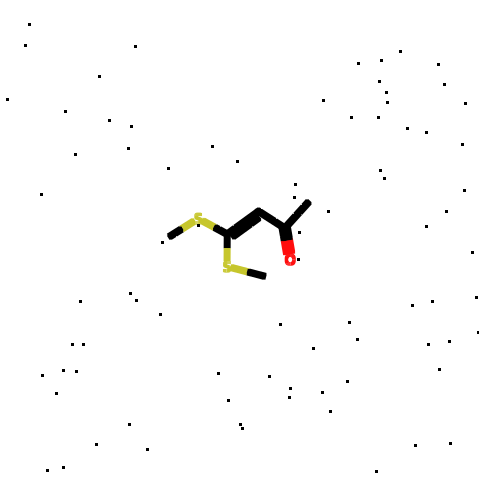 CSC(=CC(C)=O)SC